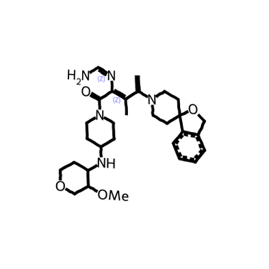 C=C(/C(C)=C(\N=C/N)C(=O)N1CCC(NC2CCOCC2OC)CC1)N1CCC2(CC1)OCc1ccccc12